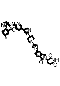 C[C@H](Oc1cc(-c2cnn(C3CCN(C4CN(c5ccc6c(c5)CN(C5CCC(=O)NC5=O)C6=O)C4)CC3)c2)cnc1N)c1cc(F)ccc1-n1nccn1